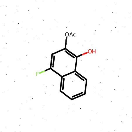 CC(=O)Oc1cc(F)c2ccccc2c1O